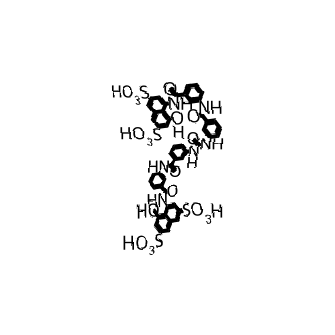 O=C(Nc1cccc(C(=O)Nc2cccc(C(=O)Nc3cc(S(=O)(=O)O)cc4cc(S(=O)(=O)O)cc(O)c34)c2)c1)Nc1cccc(C(=O)Nc2cccc(C(=O)Nc3cc(S(=O)(=O)O)cc4cc(S(=O)(=O)O)cc(O)c34)c2)c1